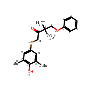 CC(COc1ccccc1)(C(=O)O)C(=O)CSc1cc(C(C)(C)C)c(O)c(C(C)(C)C)c1